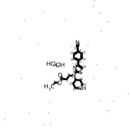 CCOC(=O)CCN(c1nc(-c2ccc(C#N)cc2)cs1)C1CCNCC1.Cl.Cl